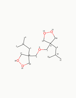 CC(C)CC1(COCC2(CC(C)C)COOC2)COOC1